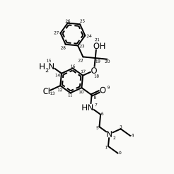 CCN(CC)CCNC(=O)c1cc(Cl)c(N)cc1OC(C)(O)Cc1ccccc1